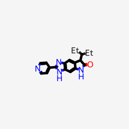 CCC(CC)C1C(=O)Nc2cc3[nH]c(-c4ccncc4)nc3cc21